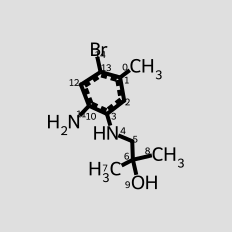 Cc1cc(NCC(C)(C)O)c(N)cc1Br